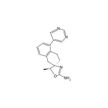 C[C@@H]1OC(N)=N[C@@]12CCc1c(cccc1-c1cncnc1)C2